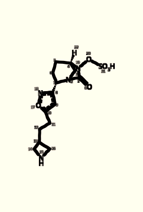 O=C1N2C[C@@H](CC[C@H]2c2cc(CCC3CNC3)on2)N1OS(=O)(=O)O